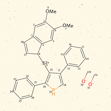 COc1cc2c(cc1OC)[CH]([Ti+2][c]1c(-c3ccccc3)c[pH]c1-c1ccccc1)C=C2.C[O-].C[O-]